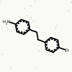 CCc1ccc(CCc2ccc(N)cc2)cc1